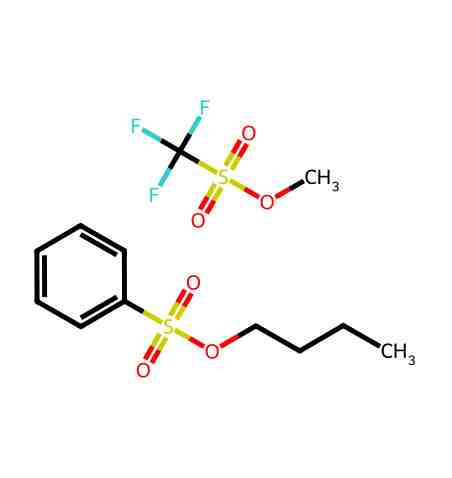 CCCCOS(=O)(=O)c1ccccc1.COS(=O)(=O)C(F)(F)F